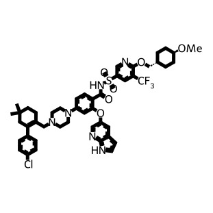 CO[C@H]1CC[C@H](COc2ncc(S(=O)(=O)NC(=O)c3ccc(N4CCN(CC5=C(c6ccc(Cl)cc6)CC(C)(C)CC5)CC4)cc3Oc3cnc4[nH]ccc4c3)cc2C(F)(F)F)CC1